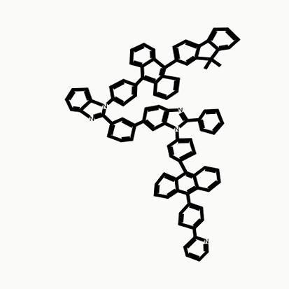 CC1(C)c2ccccc2-c2ccc(-c3c4ccccc4c(-c4ccc(-n5c(-c6cccc(-c7ccc8nc(-c9ccccc9)n(-c9ccc(-c%10c%11ccccc%11c(-c%11ccc(-c%12ccccn%12)cc%11)c%11ccccc%10%11)cc9)c8c7)c6)nc6ccccc65)cc4)c4ccccc34)cc21